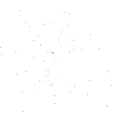 CC(C)OP(=O)(CNC(=O)NCP(=O)(OC(C)C)OC(C)C)OC(C)C